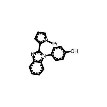 CC(C)n1cccc1-c1nc2ccccc2n1-c1ccc(O)cc1